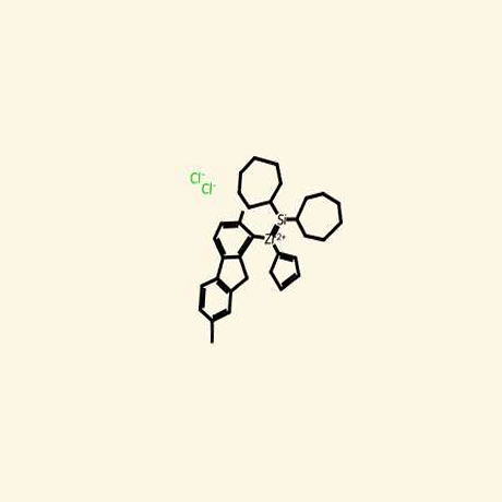 Cc1ccc2c(c1)Cc1c-2ccc(C)[c]1[Zr+2]([C]1=CC=CC1)=[Si](C1CCCCCC1)C1CCCCCC1.[Cl-].[Cl-]